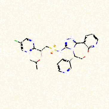 CC(C)O[C@@H](c1ncc(Cl)cn1)[C@H](C)S(=O)(=O)Nc1nnc2n1[C@H](c1cccnc1)COc1ncccc1-2